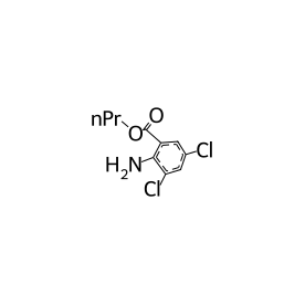 CCCOC(=O)c1cc(Cl)cc(Cl)c1N